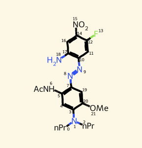 CCCN(CCC)c1cc(NC(C)=O)c(/N=N/c2cc(F)c([N+](=O)[O-])cc2N)cc1OC